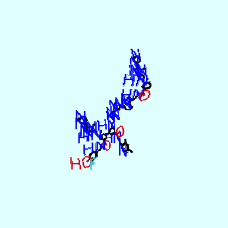 Cc1cnc(CCNC(=O)c2cc(NCc3nnc(-c4cc(C5CCCc6c(CNC(=O)c7cccc(NCc8nnc(-c9ccncn9)n8C)c7)cnn65)ncn4)n3C)cc(-c3cc(NCc4nnc(-c5ccncn5)n4C)cc(C(=O)NCc4ccc(O)c(F)c4)c3)c2)c(C)c1